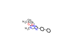 CN(Cc1nc(-c2ccc(-c3ccccc3)cc2)c[nH]1)C(=O)OC(C)(C)C